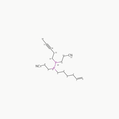 C=CCCCCP(CCC#N)P(CCC#N)CCC#CC